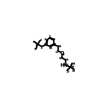 CC(C)(C)Cc1cccc(CCOCCNC(C)(C)C)c1